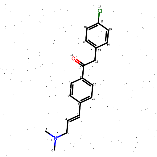 CN(C)CC=Cc1ccc(C(=O)Cc2ccc(Cl)cc2)cc1